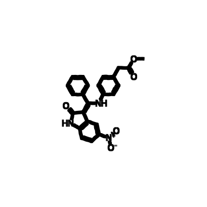 COC(=O)Cc1ccc(NC(=C2C(=O)Nc3ccc([N+](=O)[O-])cc32)c2ccccc2)cc1